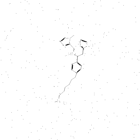 CCCN(CCC)CCCCCCc1ccc(C(Cc2ncc[nH]2)NCc2nccn2C)cc1